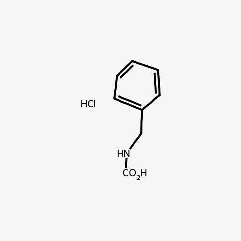 Cl.O=C(O)NCc1ccccc1